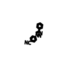 N#Cc1ccc(-n2cc(-c3ccccc3)nn2)cc1